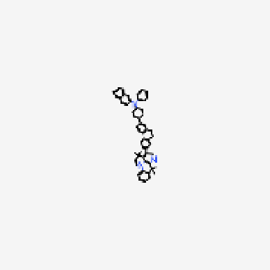 CC1(C)C=CN2c3ccccc3C(C)(C)c3ncc(-c4ccc5c(ccc6cc(-c7ccc(N(c8ccccc8)c8ccc9ccccc9c8)cc7)ccc65)c4)c1c32